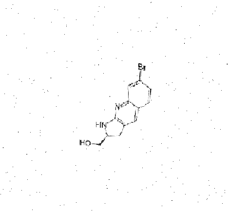 OC[C@@H]1Cc2cc3ccc(Br)cc3nc2N1